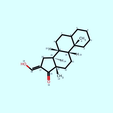 C[C@]12CCCCC1CC[C@@H]1[C@H]2CC[C@]2(C)C(=O)C(=CO)C[C@@H]12